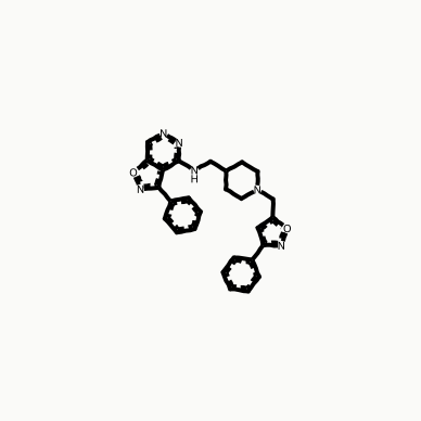 c1ccc(-c2cc(CN3CCC(CNc4nncc5onc(-c6ccccc6)c45)CC3)on2)cc1